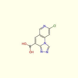 OB(O)c1cc2cnc(Cl)cc2n2cnnc12